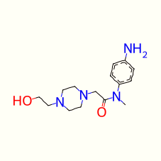 CN(C(=O)CN1CCN(CCO)CC1)c1ccc(N)cc1